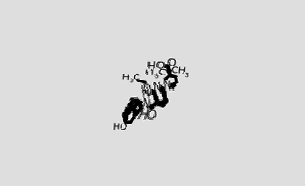 CCCOc1nc(N2CCCC(C(C)(C)C(=O)O)C2)ccc1C(=O)N[C@H]1C2CC3CC1C[C@@](O)(C3)C2